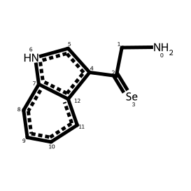 NCC(=[Se])c1c[nH]c2ccccc12